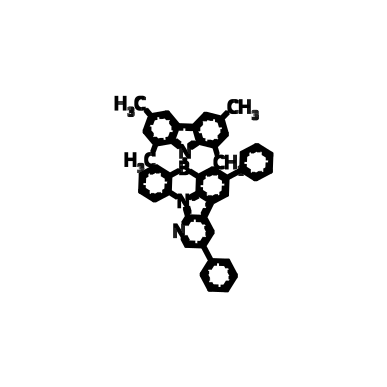 Cc1cc(C)c2c(c1)c1cc(C)cc(C)c1n2B1c2ccccc2-n2c3ncc(-c4ccccc4)cc3c3cc(-c4ccccc4)cc1c32